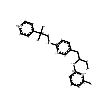 CCC(Cc1ccc(OCC(C)(C)c2ccncc2)nc1)Oc1cccc(C)n1